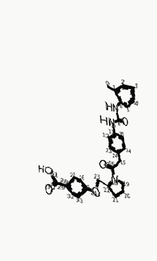 Cc1ccccc1NC(=O)Nc1ccc(CC(=O)N2CCC[C@H]2COc2ccc(C(=O)O)cc2)cc1